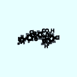 Cn1cc(-c2ccc(S(=O)(=O)C3CC(C(=O)O)N(C(=O)C4(c5ncc(Cl)cc5F)CCN4)C3)c(Cl)c2)cn1